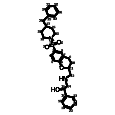 O=S(=O)(c1ccc2c(c1)CCC(CNCC(O)c1cccnc1)O2)N1CCC(Cc2ccccc2)CC1